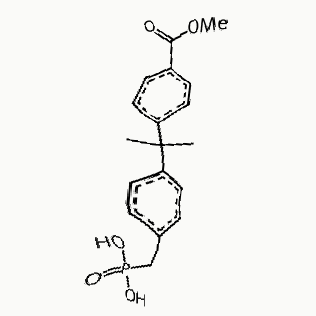 COC(=O)c1ccc(C(C)(C)c2ccc(CP(=O)(O)O)cc2)cc1